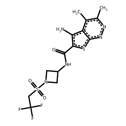 Cc1nnc2sc(C(=O)NC3CN(S(=O)(=O)CC(F)(F)F)C3)c(N)c2c1C